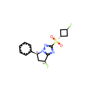 O=S(=O)(c1nc2n(n1)[C@H](c1ccccc1)C[C@@H]2F)[C@H]1C[C@H](F)C1